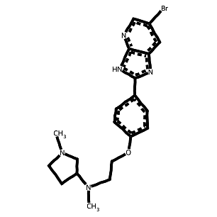 CN1CCC(N(C)CCOc2ccc(-c3nc4cc(Br)cnc4[nH]3)cc2)C1